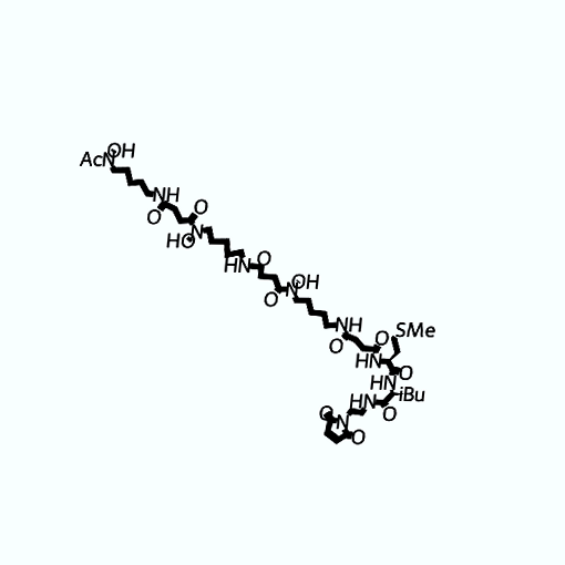 CC[C@H](C)[C@H](NC(=O)[C@H](CCSC)NC(=O)CCC(=O)NCCCCCN(O)C(=O)CCC(=O)NCCCCCN(O)C(=O)CCC(=O)NCCCCCN(O)C(C)=O)C(=O)NCCN1C(=O)C=CC1=O